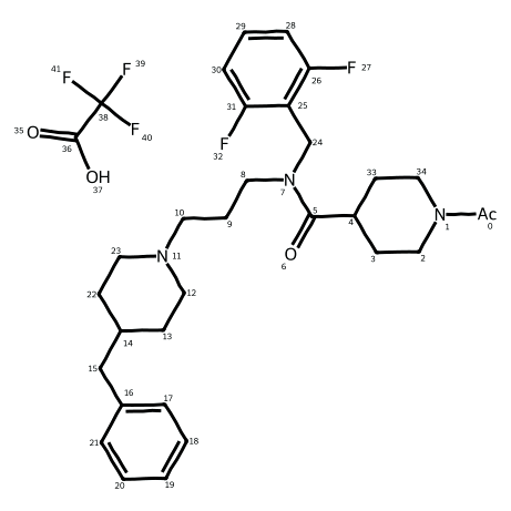 CC(=O)N1CCC(C(=O)N(CCCN2CCC(Cc3ccccc3)CC2)Cc2c(F)cccc2F)CC1.O=C(O)C(F)(F)F